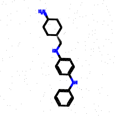 N[C@H]1CC[C@H](CNc2ccc(Nc3ccccc3)cc2)CC1